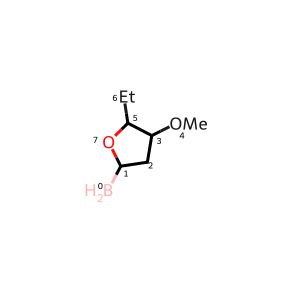 BC1CC(OC)C(CC)O1